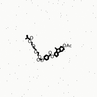 C=C(C)C(=O)OCCOCCOCCOC(=O)Oc1ccc(C(=O)Oc2ccc3c(c2)C(C)c2cc(OC(C)=O)ccc2-3)cc1